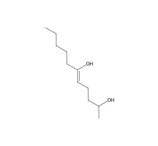 [CH2]CCCCC(O)=CCCC(C)O